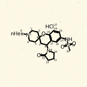 CCCCCCN1CCC2(CC1)CC(N1CCCC1=O)c1cc(NS(C)(=O)=O)ccc1O2.Cl